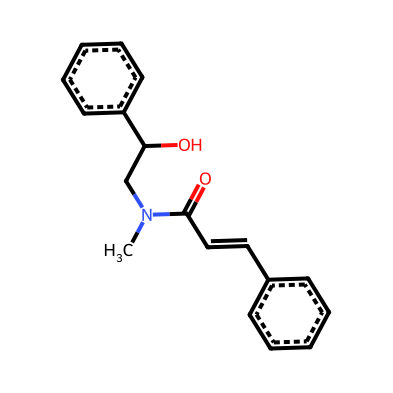 CN(CC(O)c1ccccc1)C(=O)C=Cc1ccccc1